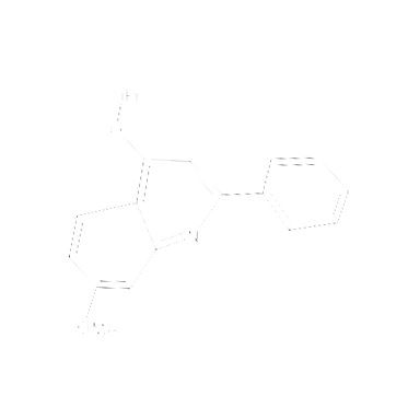 COc1ccc2c(OC(C)C)cc(-c3ccccc3)nc2c1